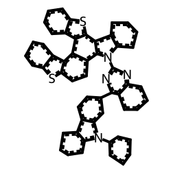 c1ccc(-n2c3ccccc3c3ccc(-c4nc(-n5c6ccccc6c6c7sc8ccccc8c7c7c(ccc8sc9ccccc9c87)c65)nc5ccccc45)cc32)cc1